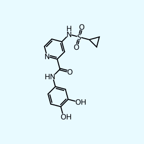 O=C(Nc1ccc(O)c(O)c1)c1cc(NS(=O)(=O)C2CC2)ccn1